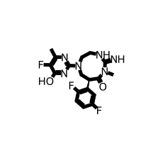 Cc1nc(N2CCNC(=N)N(C)C(=O)[C@@H](c3cc(F)ccc3F)C2)nc(O)c1F